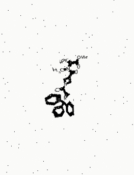 COC(=O)C(C(C)C)N(C)C(=O)C1CN(C(=O)C2C[N@]2C(c2ccccc2)(c2ccccc2)c2ccccc2)C1